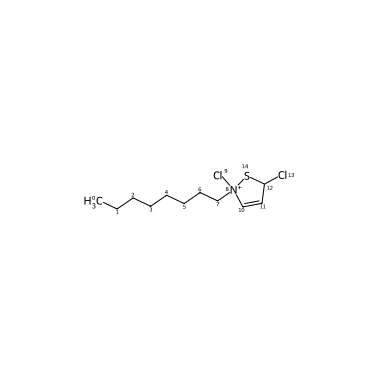 CCCCCCCC[N+]1(Cl)C=CC(Cl)S1